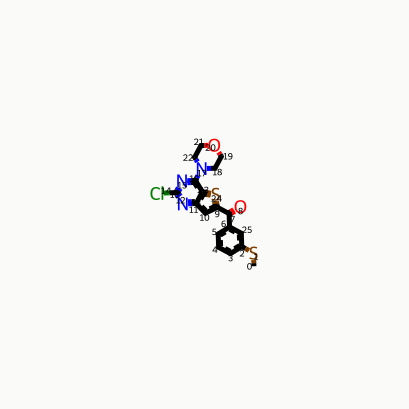 CSc1cccc(C(=O)c2cc3nc(Cl)nc(N4CCOCC4)c3s2)c1